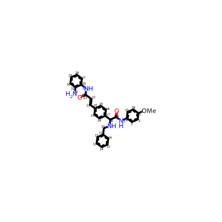 COc1ccc(NC(=O)C(NCc2ccccc2)c2ccc(C=CC(=O)Nc3ccccc3N)cc2)cc1